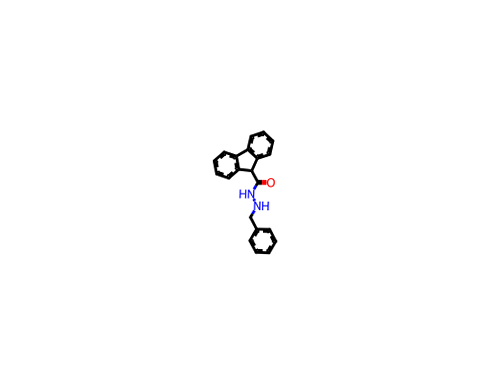 O=C(NNCc1ccccc1)C1c2ccccc2-c2ccccc21